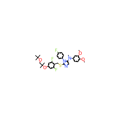 COc1ccc(N(C)c2cnc(SCc3c(F)cc(OC(C)(C)COC(C)(C)C)cc3F)n2-c2ccc(F)cc2)cc1OC